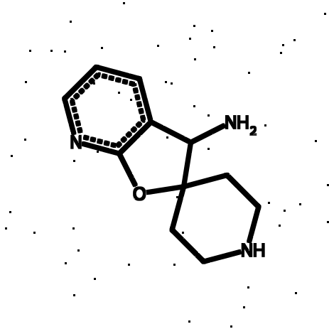 NC1c2cccnc2OC12CCNCC2